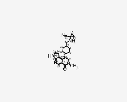 CN1CN([C@H]2CC[C@H](CNC3(C#N)CC3)CC2)c2c(cnc3[nH]ccc23)C1=O